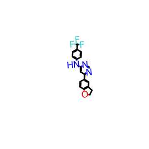 FC(F)(F)c1ccc(Nc2cc(-c3ccc4c(c3)CCO4)ncn2)cc1